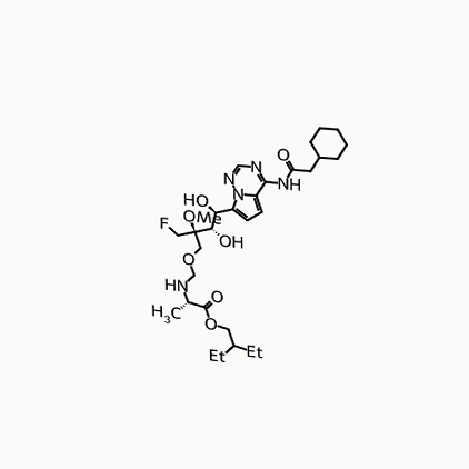 CCC(CC)COC(=O)[C@H](C)NCOC[C@@](CF)(OC)[C@@H](O)[C@@H](O)c1ccc2c(NC(=O)CC3CCCCC3)ncnn12